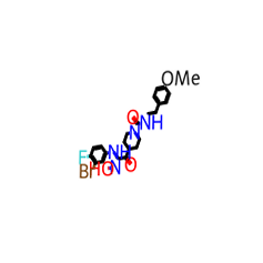 COc1ccc(CCNC(=O)N2CCC(C(=O)/C(=N/O)Nc3ccc(F)c(Br)c3)CC2)cc1